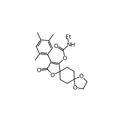 CCNC(=O)OC1=C(c2cc(C)c(C)cc2C)C(=O)OC12CCC1(CC2)OCCO1